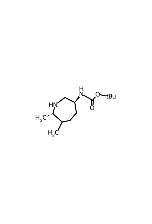 CC1CC[C@H](NC(=O)OC(C)(C)C)CN[C@H]1C